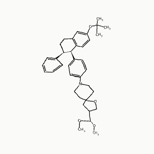 COC(OC)C1COC2(CCN(c3ccc([C@@H]4c5ccc(OC(C)(C)C)cc5CC[C@@H]4c4ccccc4)cc3)CC2)C1